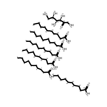 CCCCCCCCCC(=O)O.CCCCCCCCCC(=O)O.CCCCCCCCCC(=O)O.CCCCCCCCCC(=O)O.CCCCCCCCCC(=O)O.CCCCCCCCCC(=O)O.O=C(CO)[C@H](O)[C@@H](O)[C@H](O)CO